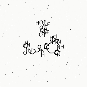 Cn1ccc(C(=O)N2CCC(CC(=O)Nc3ccc4cc3CCc3cncc(c3)Nc3ncc(Cl)c(n3)N4)CC2)n1.O=C(O)C(F)(F)F.O=C(O)C(F)(F)F